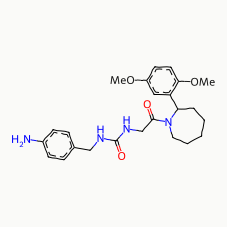 COc1ccc(OC)c(C2CCCCCN2C(=O)CNC(=O)NCc2ccc(N)cc2)c1